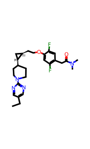 CCc1cnc(N2CCC([C@H]3C[C@H]3CCOc3cc(F)c(CC(=O)N(C)C)cc3F)CC2)nc1